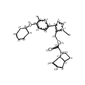 Cc1nc(-c2nnn(C)c2COC(=O)N2CCC3CCCC32)ccc1OC1CCCCC1